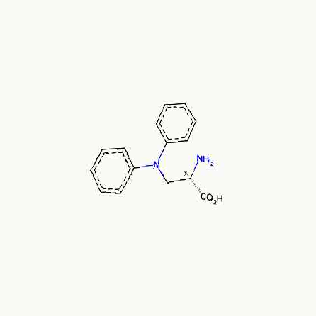 N[C@@H](CN(c1ccccc1)c1ccccc1)C(=O)O